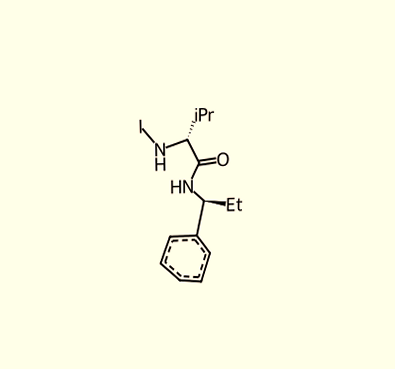 CC[C@H](NC(=O)[C@H](NI)C(C)C)c1ccccc1